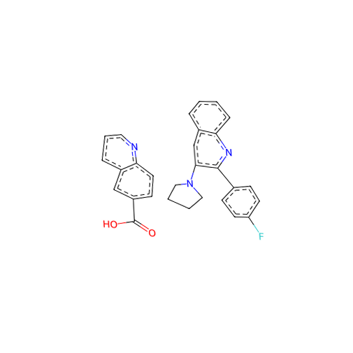 Fc1ccc(-c2nc3ccccc3cc2N2CCCC2)cc1.O=C(O)c1ccc2ncccc2c1